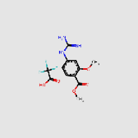 COC(=O)c1ccc(NC(=N)N)cc1OC.O=C(O)C(F)(F)F